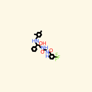 Cc1ccc(CNCC(c2ccccc2)C(O)CNC(=O)CNC(=O)c2cccc(C(F)(F)F)c2)c(C)c1